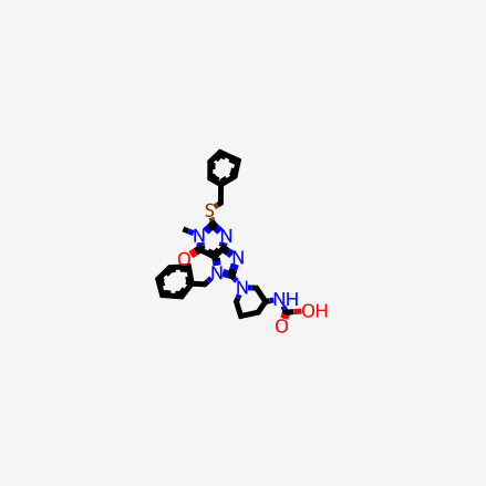 Cn1c(SCc2ccccc2)nc2nc(N3CCCC(NC(=O)O)C3)n(Cc3ccccc3)c2c1=O